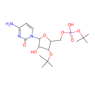 CC(C)(C)OC1C(COP(=O)(O)OC(C)(C)C)OC(n2ccc(N)nc2=O)C1O